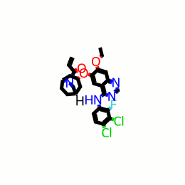 C=CC(=O)N1C[C@@H]2CCC1CC(Oc1cc3c(Nc4ccc(Cl)c(Cl)c4F)ncnc3cc1OCC)C2